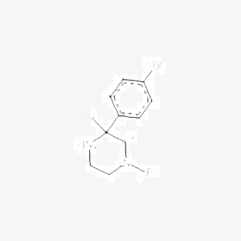 CC(C)N1CCNC(C)(c2ccc(Br)cc2)C1